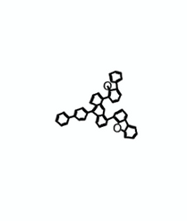 c1ccc(-c2ccc(-c3c4cccc(-c5cccc6c5oc5ccccc56)c4cc4c(-c5cccc6c5oc5ccccc56)cccc34)cc2)cc1